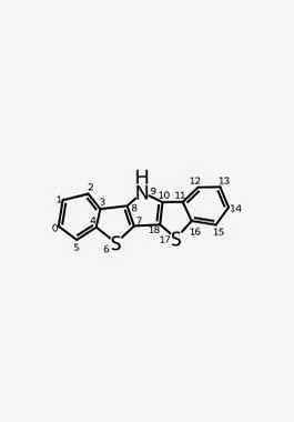 c1ccc2c(c1)sc1c2[nH]c2c3ccccc3sc21